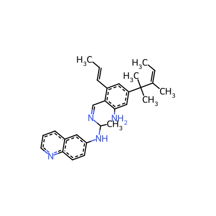 C/C=C(/C)C(C)(C)c1cc(N)c(/C=N\C(C)Nc2ccc3ncccc3c2)c(/C=C/C)c1